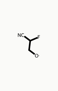 N#CC(F)C[O]